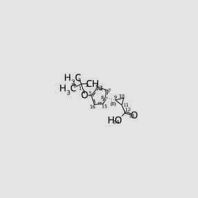 CC(C)(C)Oc1ccc([C@@H]2CC2C(=O)O)cc1